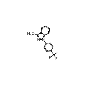 Cc1nn(-c2ccc(C(F)(F)F)cc2)c2ccccc12